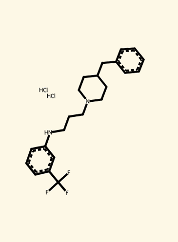 Cl.Cl.FC(F)(F)c1cccc(NCCCN2CCC(Cc3ccccc3)CC2)c1